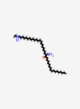 CCCCCCCC/C=C\CCCCCCCC(=O)C(N)CCCCCCC/C=C\CCCCCCCCCCCCNCC